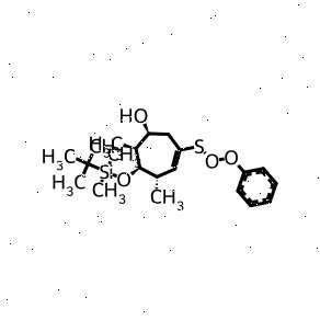 C[C@@H]1[C@H](O[Si](C)(C)C(C)(C)C)[C@@H](C)C=C(SOOc2ccccc2)C[C@@H]1O